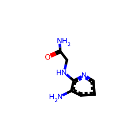 NC(=O)CNc1ncccc1N